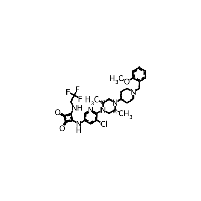 COc1ccccc1CN1CCC(N2C[C@H](C)N(c3ncc(Nc4c(NCC(F)(F)F)c(=O)c4=O)cc3Cl)C[C@H]2C)CC1